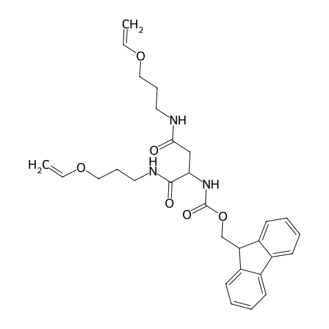 C=COCCCNC(=O)CC(NC(=O)OCC1c2ccccc2-c2ccccc21)C(=O)NCCCOC=C